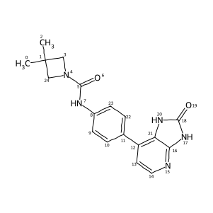 CC1(C)CN(C(=O)Nc2ccc(-c3ccnc4[nH]c(=O)[nH]c34)cc2)C1